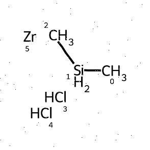 C[SiH2]C.Cl.Cl.[Zr]